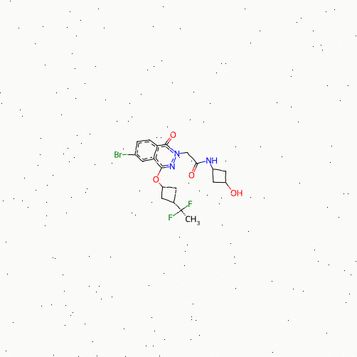 CC(F)(F)C1CC(Oc2nn(CC(=O)NC3CC(O)C3)c(=O)c3ccc(Br)cc23)C1